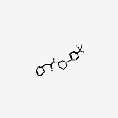 O=C(Cc1ccccc1)N[C@H]1CCCN(c2ccc(C(F)(F)F)cc2)C1